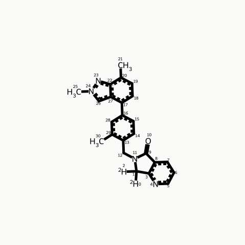 [2H]C1([2H])c2ncccc2C(=O)N1Cc1ccc(-c2ccc(C)c3nn(C)cc23)cc1C